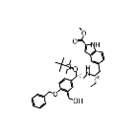 CC[C@@H](Cc1ccc2[nH]c(C(=O)OC)cc2c1)NC[C@@H](O[Si](C)(C)C(C)(C)C)c1ccc(OCc2ccccc2)c(CO)c1